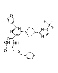 O=C(NC(CSCc1ccccc1)C(=O)O)c1cc(N2CCN(c3nccc(C(F)(F)F)n3)CC2)nc(-c2ccoc2)n1